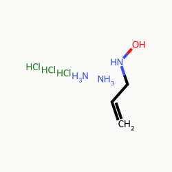 C=CCNO.Cl.Cl.Cl.N.N